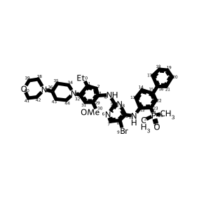 CCc1cc(Nc2ncc(Br)c(Nc3ccc(-c4ccccc4)cc3P(C)(C)=O)n2)c(OC)cc1N1CCC(N2CCOCC2)CC1